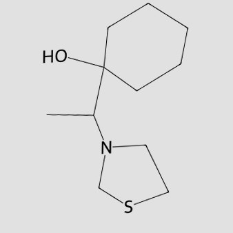 CC(N1CCSC1)C1(O)CCCCC1